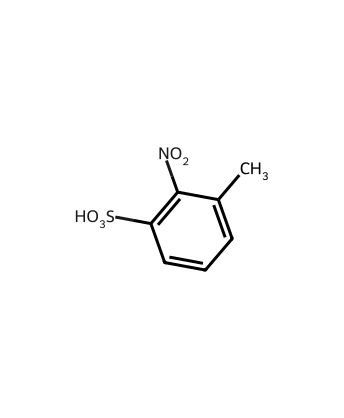 Cc1cccc(S(=O)(=O)O)c1[N+](=O)[O-]